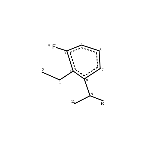 CCc1c(F)cccc1[C](C)C